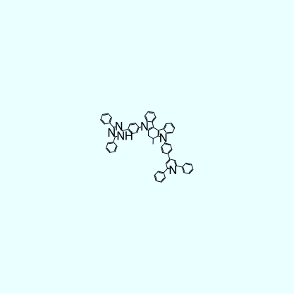 CC1Cc2c(c3ccccc3n2-c2ccc(C3=NC(c4ccccc4)=NC(c4ccccc4)N3)cc2)-c2c1n(-c1ccc(-c3cc(-c4ccccc4)nc(-c4ccccc4)c3)cc1)c1ccccc21